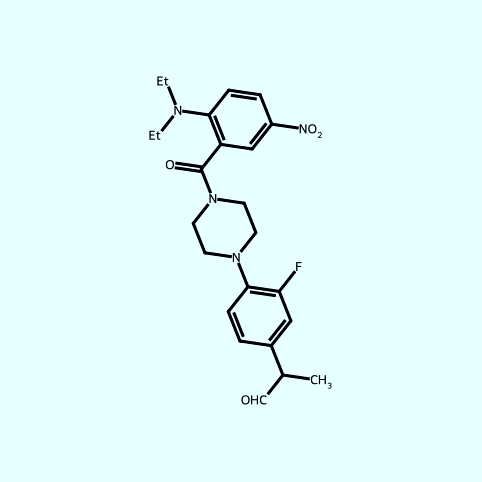 CCN(CC)c1ccc([N+](=O)[O-])cc1C(=O)N1CCN(c2ccc(C(C)C=O)cc2F)CC1